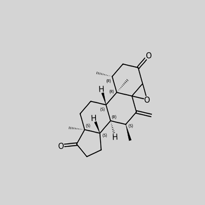 C=C1[C@@H](C)[C@@H]2[C@H](CC[C@]3(C)C(=O)CC[C@@H]23)[C@@]2(C)[C@H](C)CC(=O)C3OC132